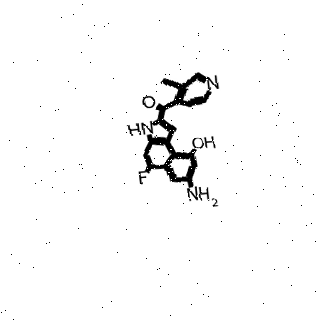 Cc1cnccc1C(=O)c1cc2c(cc(F)c3cc(N)cc(O)c32)[nH]1